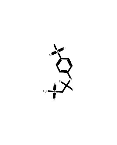 CS(=O)(=O)c1ccc(OC(F)(F)CS(=O)(=O)C(F)(F)F)cc1